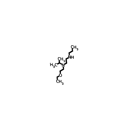 CCCNCCN(CCOCC)C(C)C